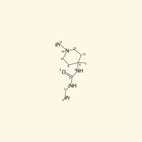 CC(C)CNC(=O)NC1(C)CCN(C(C)C)CC1